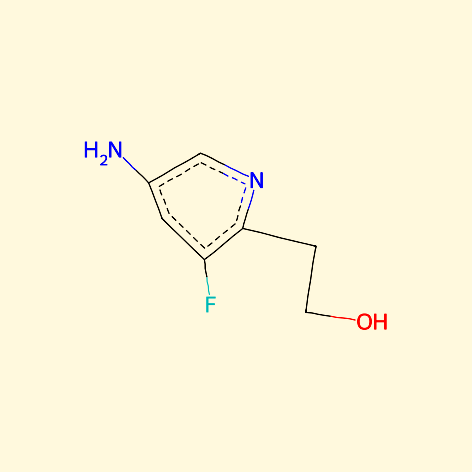 Nc1cnc(CCO)c(F)c1